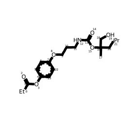 CCC(=O)Oc1ccc(OCCCNC(=O)OC(C)(CO)CC(C)C)cc1